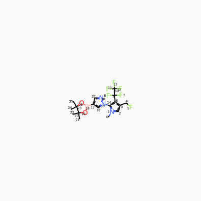 Cn1cc(CF)c(C(F)(F)C(F)(F)F)c1-n1cc(B2OC(C)(C)C(C)(C)O2)cn1